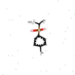 CC(C)c1ccc(S(=O)(=O)C(C(=O)O)C(C)C)cc1